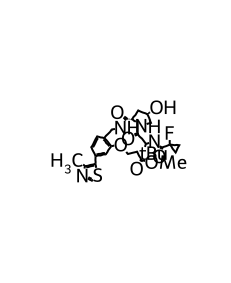 COC(=O)CCOc1cc(-c2scnc2C)ccc1CNC(=O)[C@@H]1C[C@@H](O)CN1C(=O)C(NC(=O)C1(F)CC1)C(C)(C)C